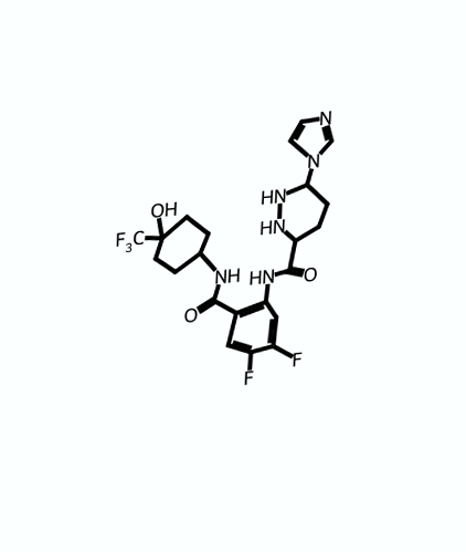 O=C(NC1CCC(O)(C(F)(F)F)CC1)c1cc(F)c(F)cc1NC(=O)C1CCC(n2ccnc2)NN1